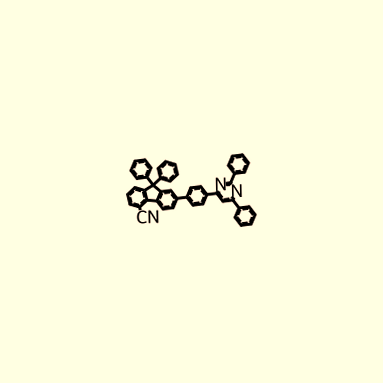 N#Cc1cccc2c1-c1ccc(-c3ccc(-c4cc(-c5ccccc5)nc(-c5ccccc5)n4)cc3)cc1C2(c1ccccc1)c1ccccc1